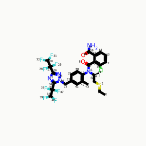 CCSC[C@H](C)N(C(=O)c1c(Cl)cccc1C(N)=O)c1ccc(Cn2nc(C(F)(F)C(F)F)nc2C(F)(F)C(F)F)cc1C